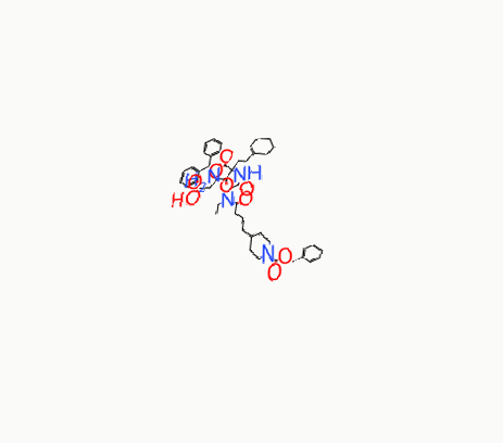 CCN(CC(=O)NC(CCC1CCCCC1)(C(=O)OC(c1ccccc1)c1ccccc1)C(=O)[C@@H](N)CC(=O)O)C(=O)CCCC1CCN(C(=O)OCc2ccccc2)CC1